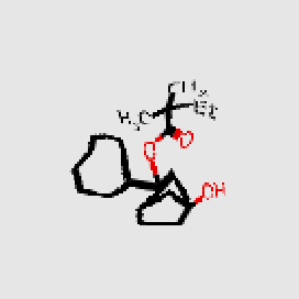 CCC(C)(C)C(=O)OC1(C2=CCCCC2)CC2(O)CCC1C2